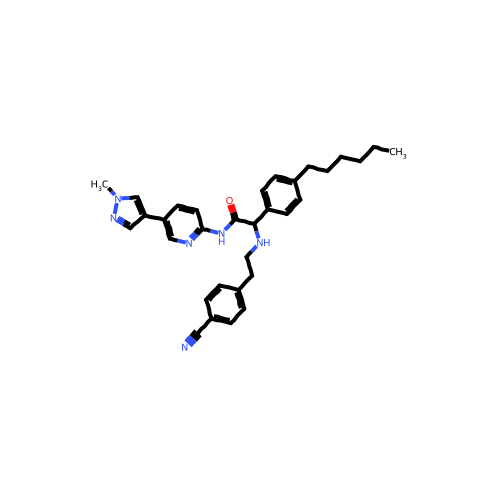 CCCCCCc1ccc(C(NCCc2ccc(C#N)cc2)C(=O)Nc2ccc(-c3cnn(C)c3)cn2)cc1